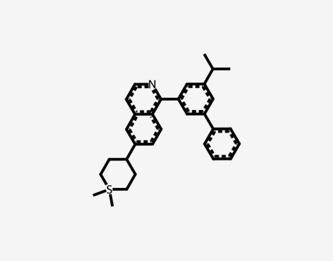 CC(C)c1cc(-c2ccccc2)cc(-c2nccc3cc(C4CCS(C)(C)CC4)ccc23)c1